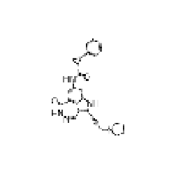 O=C1NN=Cc2c(C#CCN3CCCC3)[nH]c3cc(NC(=O)[C@@H]4C[C@H]4c4ccccc4)cc1c23